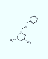 CC1=CN(C)C[C@H](COCc2ccccc2)O1